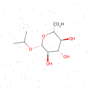 CC(I)O[C@@H]1O[C@H](C(=O)O)[C@@H](O)[C@H](O)[C@H]1O